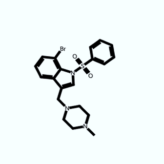 CN1CCN(Cc2cn(S(=O)(=O)c3ccccc3)c3c(Br)cccc23)CC1